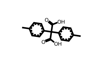 Cc1ccc(C(C(=O)O)(C(=O)O)c2ccc(C)cc2)cc1